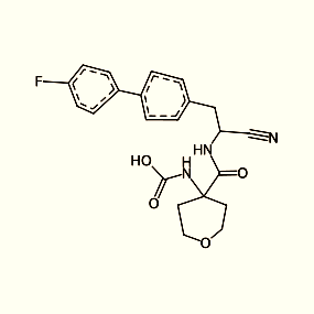 N#CC(Cc1ccc(-c2ccc(F)cc2)cc1)NC(=O)C1(NC(=O)O)CCOCC1